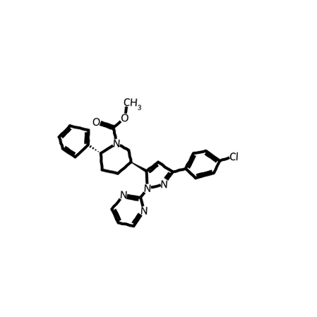 COC(=O)N1C[C@@H](c2cc(-c3ccc(Cl)cc3)nn2-c2ncccn2)CC[C@@H]1c1ccccc1